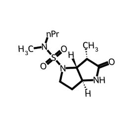 CCCN(C)S(=O)(=O)N1CC[C@@H]2NC(=O)[C@@H](C)[C@H]21